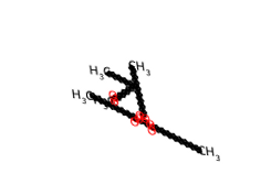 CCCCCCCCCCCCCCCCCC(=O)OCC(COC(=O)CCCCCCCCCCCCCCCC)OC(=O)CCCCCCCCCC(CCCCCCC)C(CCCCCCCCC)CCCCCCCC(=O)OC